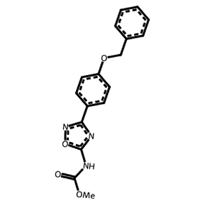 COC(=O)Nc1nc(-c2ccc(OCc3ccccc3)cc2)no1